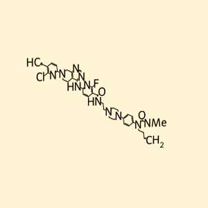 C#Cc1ccc(N2CCc3c(ncnc3Nc3ccc(C(=O)NCCN4CCN(c5ccc(N(CCC=C)C(=O)NC)cc5)CC4)c(F)n3)C2)nc1Cl